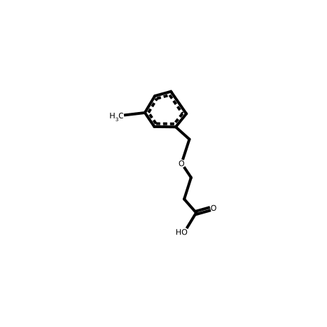 Cc1cccc(COCCC(=O)O)c1